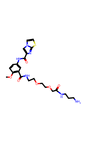 COc1ccc(NC(=O)c2cn3ccsc3n2)cc1C(=O)NCCOCCOCC(=O)NCCCN